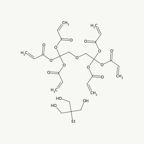 C=CC(=O)OC(COCC(OC(=O)C=C)(OC(=O)C=C)OC(=O)C=C)(OC(=O)C=C)OC(=O)C=C.CCC(CO)(CO)CO